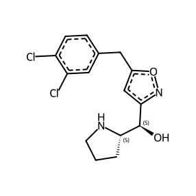 O[C@H](c1cc(Cc2ccc(Cl)c(Cl)c2)on1)[C@@H]1CCCN1